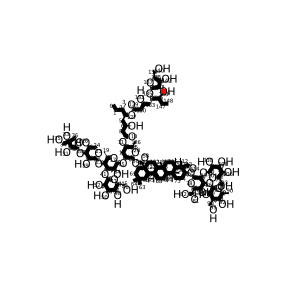 CC[C@H](C)[C@H](C[C@H](O)CC(=O)O[C@@H]1C[C@@H](O[C@@H]2O[C@@H](C)[C@H](O[C@@H]3OC[C@@H](O)[C@H](OC4=C(O)[C@@](O)(CO)CO4)[C@H]3O)[C@@H](O[C@@H]3O[C@H](CO)[C@@H](O)[C@H](O)[C@H]3O)[C@H]2O)[C@H](OC(=O)[C@]23CCC(C)(C)C[C@H]2C2=CC[C@@H]4[C@@]5(C)CC[C@H](O[C@@H]6O[C@H](C(=O)O)[C@@H](O)[C@H](O[C@@H]7O[C@@H](C)[C@H](O)[C@@H](CO)[C@H]7O)[C@H]6O[C@@H]6O[C@H](CO)[C@H](O)[C@H](O)[C@H]6O)[C@@](C)(C=O)[C@@H]5CC[C@@]4(C)[C@]2(C)CC3)O[C@@H]1C)OC(=O)C[C@@H](O)C[C@H](O[C@@H]1O[C@@H](CO)[C@H](O)[C@H]1O)[C@@H](C)CC